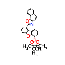 CC1(C)OB(c2cccc3c2oc2cccc(-c4nc5ccc6ccccc6c5o4)c23)OC1(C)C